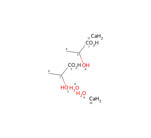 CC(O)C(=O)O.CC(O)C(=O)O.O.O.[CaH2].[CaH2]